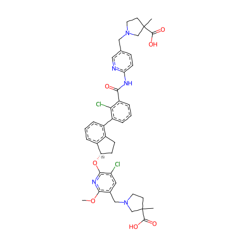 COc1nc(O[C@H]2CCc3c(-c4cccc(C(=O)Nc5ccc(CN6CCC(C)(C(=O)O)C6)cn5)c4Cl)cccc32)c(Cl)cc1CN1CCC(C)(C(=O)O)C1